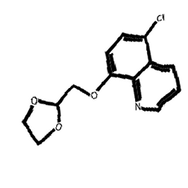 Clc1ccc(OCC2OCCO2)c2ncccc12